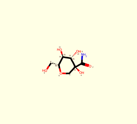 NC(=O)[C@]1(O)CO[C@H](CO)[C@@H](O)[C@@H]1O